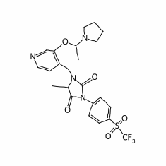 CC(Oc1cnccc1CN1C(=O)N(c2ccc(S(=O)(=O)C(F)(F)F)cc2)C(=O)C1C)N1CCCC1